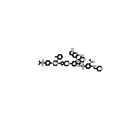 Cc1ccccc1[C@@H]1CN(c2ccc(S(=O)(=O)C(C)C)cc2)CCN1C1CC2(CCN(c3ccc(C(=O)NS(=O)(=O)c4ccc(NCC5CCOCC5)c([N+](=O)[O-])c4)c(N4c5cc6cc[nH]c6nc5O[C@H]5COCC[C@@H]54)c3)CC2)C1